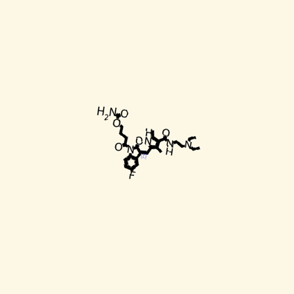 CCN(CC)CCNC(=O)c1c(C)[nH]c(/C=C2\C(=O)N(C(=O)CCCOC(N)=O)c3ccc(F)cc32)c1C